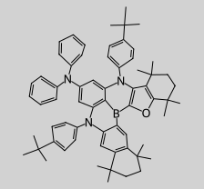 CC(C)(C)c1ccc(N2c3cc4c(cc3B3c5oc6c(c5N(c5ccc(C(C)(C)C)cc5)c5cc(N(c7ccccc7)c7ccccc7)cc2c53)C(C)(C)CCC6(C)C)C(C)(C)CCC4(C)C)cc1